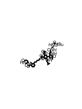 Cn1cc(-c2cc(CS(C)(=O)=O)c(C(=O)NCCCCCc3cccc4c3CN(C3CCC(=O)NC3=O)C4=O)cc2NCC2CC2)c2cc(C(=O)NCCNC(=O)OC(C)(C)C)[nH]c2c1=O